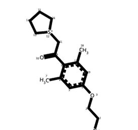 CCCOc1cc(C)c(C(=O)C[S+]2CCCC2)c(C)c1